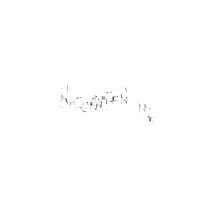 O=C(NCCCN1CCC(F)CC1)c1ccc2c(c1)oc1nc(-c3ccc([C@@H]4CCCN4)cc3F)cn12